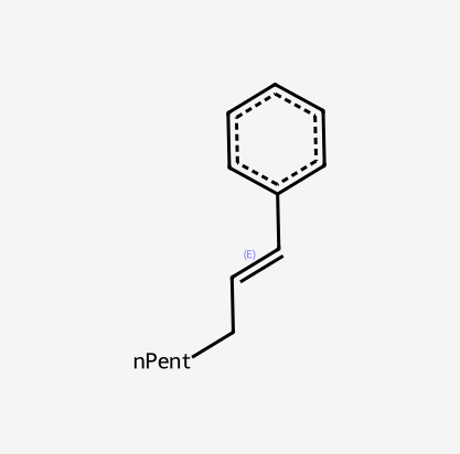 [CH2]CCCCC/C=C/c1ccccc1